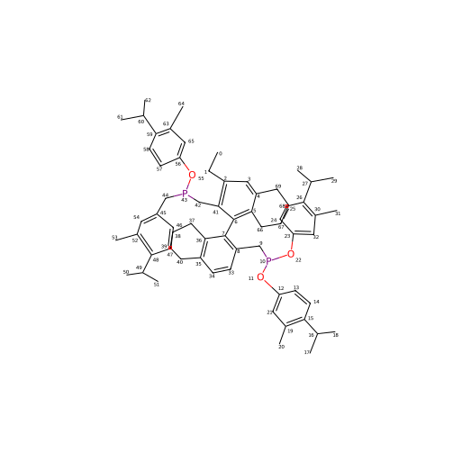 CCc1cc2c(c(-c3c(CP(Oc4ccc(C(C)C)c(C)c4)Oc4ccc(C(C)C)c(C)c4)ccc4c3CCCC4)c1CP(Cc1ccc(C(C)C)c(C)c1)Oc1ccc(C(C)C)c(C)c1)CCCC2